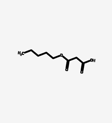 CCCCCOC(=O)CC(=O)O